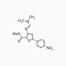 COC(=O)c1sc(-c2ccc([N+](=O)[O-])cc2)cc1/N=C/N(C)C